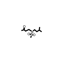 CC(=O)CCN(CCC(C)C)S(C)(=O)=O